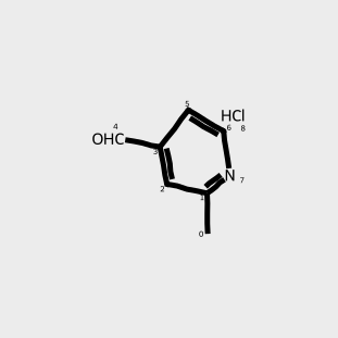 Cc1cc(C=O)ccn1.Cl